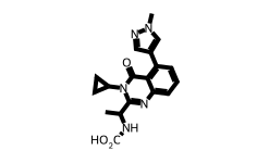 CC(NC(=O)O)c1nc2cccc(-c3cnn(C)c3)c2c(=O)n1C1CC1